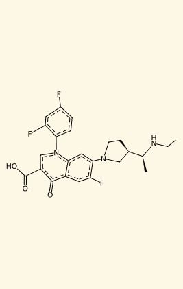 CCN[C@@H](C)[C@@H]1CCN(c2cc3c(cc2F)c(=O)c(C(=O)O)cn3-c2ccc(F)cc2F)C1